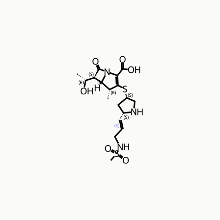 C[C@@H](O)[C@H]1C(=O)N2C(C(=O)O)=C(S[C@@H]3CN[C@H](/C=C/CNS(C)(=O)=O)C3)[C@H](C)[C@H]12